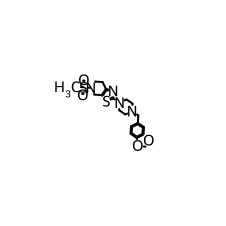 CS(=O)(=O)N1CCc2nc(N3CCN(Cc4ccc5c(c4)OCO5)CC3)sc2C1